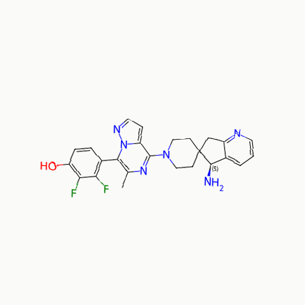 Cc1nc(N2CCC3(CC2)Cc2ncccc2[C@H]3N)c2ccnn2c1-c1ccc(O)c(F)c1F